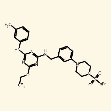 CCCS(=O)(=O)N1CCN(c2cccc(CNc3nc(Nc4cccc(C(F)(F)F)c4)nc(OCC(F)(F)F)n3)c2)CC1